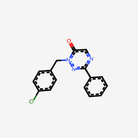 O=c1cnc(-c2ccccc2)nn1Cc1ccc(Cl)cc1